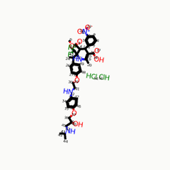 COC(=O)C1C(c2cccc([N+](=O)[O-])c2)C(C(=O)O)=C(C)NC1(C(C)c1ccc(OCCNc2ccc(OCC(O)CNC(C)C)cc2)cc1)C(F)(F)F.Cl.Cl